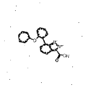 Cn1nc2c(-c3ccccc3Oc3ccccc3)cccc2c1C(=O)O